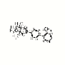 Cc1ccncc1-c1ccc(B2OC(C)(C)C(C)(C)O2)cc1